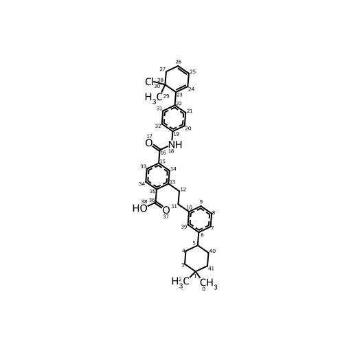 CC1(C)CCC(c2cccc(CCc3cc(C(=O)Nc4ccc(C5=CC=CCC5(C)Cl)cc4)ccc3C(=O)O)c2)CC1